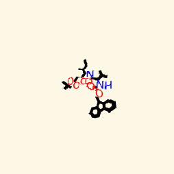 CC[C@H](C)[C@@H]([C@@H](CC(=O)OC(C)(C)C)OC)N(C)C(=O)[C@@H](NC(=O)OCC1c2ccccc2-c2ccccc21)C(C)C